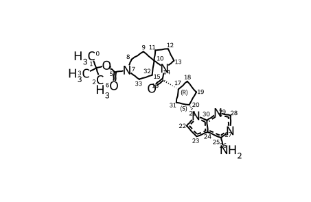 CC(C)(C)OC(=O)N1CCC2(CCCN2C(=O)[C@@H]2CC[C@H](n3ccc4c(N)ncnc43)C2)CC1